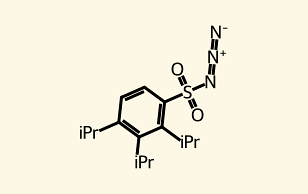 CC(C)c1ccc(S(=O)(=O)N=[N+]=[N-])c(C(C)C)c1C(C)C